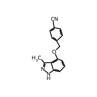 Cc1n[nH]c2cccc(OCc3ccc(C#N)cc3)c12